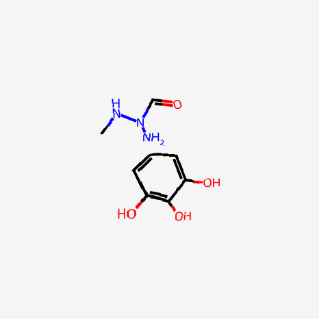 CNN(N)C=O.Oc1cccc(O)c1O